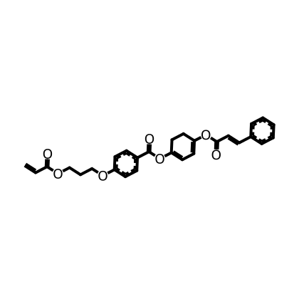 C=CC(=O)OCCCOc1ccc(C(=O)OC2=CC=C(OC(=O)/C=C/c3ccccc3)CC2)cc1